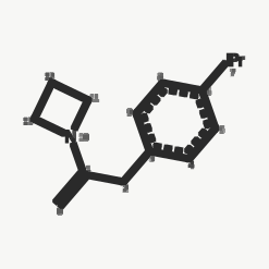 C=C(Cc1ccc(C(C)C)cc1)N1CCC1